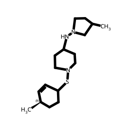 CC1CCN(NC2CCN(SC3C=C[C@H](C)CC3)CC2)C1